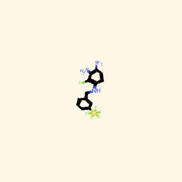 Nc1ccc(NCc2cccc(S(F)(F)(F)(F)F)c2)c(F)c1N